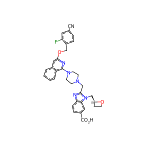 N#Cc1ccc(COc2cc3ccccc3c(N3CCN(Cc4nc5ccc(C(=O)O)cc5n4C[C@@H]4CCO4)CC3)n2)c(F)c1